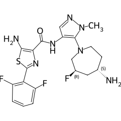 Cn1ncc(NC(=O)c2nc(-c3c(F)cccc3F)sc2N)c1N1CC[C@H](N)C[C@@H](F)C1